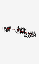 COCC(COC)(COCCC(=O)NCCCNC(=O)CCCCOC1OC(COC(C)=O)C(O)C(O)C1N)NC(=O)CCCCCCCCCCC(=O)N1C[C@H](O)C[C@H]1CO